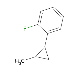 CC1CC1c1ccccc1F